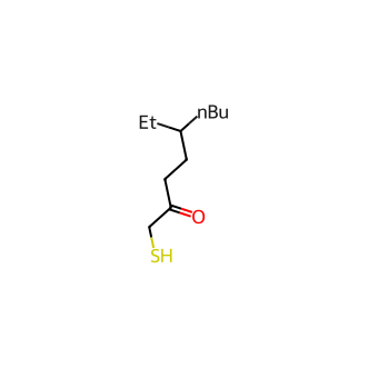 CCCCC(CC)CCC(=O)CS